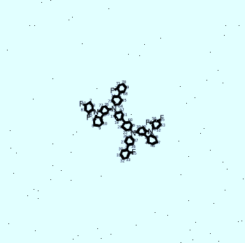 Fc1ccc(-n2c3ccccc3c3cc(N(c4ccc(-c5ccc(N(c6ccc(-c7ccccc7F)cc6)c6ccc7c(c6)c6ccccc6n7-c6ccc(F)cc6F)cc5)cc4)c4ccc(-c5ccccc5F)cc4)ccc32)c(F)c1